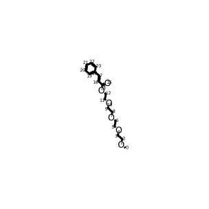 COCCOCCOCCOCCOC(=O)/C=C/c1ccccc1